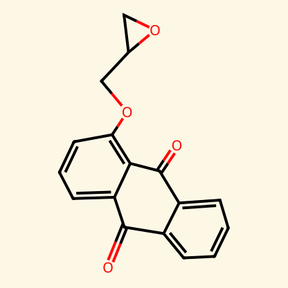 O=C1c2ccccc2C(=O)c2c(OCC3CO3)cccc21